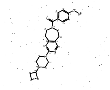 CCCOc1ccc(C(=O)N2CCc3cnc(N4CCN(C5CCC5)CC4)nc3CC2)cc1